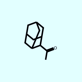 CC(=O)C1C2CC3CC(C2)CC1C3